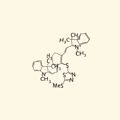 CSc1nnc(SC2=C(/C=C/C3=[N+](C)c4ccccc4C3(C)C)CCC/C2=C\C=C2\N(C)c3ccccc3C2(C)C)s1